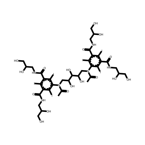 CC(=O)N(CC(O)C(O)C(O)CN(C(C)=O)c1c(I)c(C(=O)NCC(O)CO)c(I)c(C(=O)NCC(O)CO)c1I)c1c(I)c(C(=O)NCC(O)CO)c(I)c(C(=O)NCC(O)CO)c1I